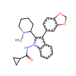 O=C(Nn1c(C2CCCCN2C(=O)O)c(-c2ccc3c(c2)OCO3)c2ccccc21)C1CC1